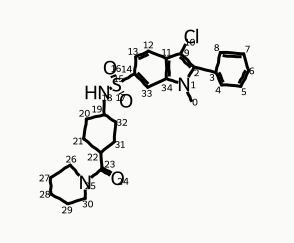 Cn1c(-c2ccccc2)c(Cl)c2ccc(S(=O)(=O)NC3CCC(C(=O)N4CCCCC4)CC3)cc21